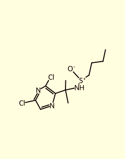 CCCC[S+]([O-])NC(C)(C)c1ncc(Cl)nc1Cl